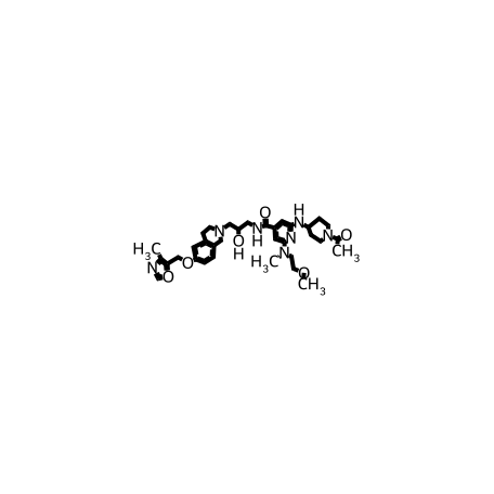 COCCN(C)c1cc(C(=O)NCC(O)CN2CCc3cc(OCc4ocnc4C)ccc3C2)cc(NC2CCN(C(C)=O)CC2)n1